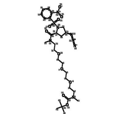 CN(CCOCCOCCOCCN(C)C(=O)[C@@H]1C[C@H](N=[N+]=[N-])CN1S(=O)(=O)c1ccccc1[N+](=O)[O-])C(=O)OC(C)(C)C